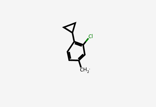 [CH2]c1ccc(C2CC2)c(Cl)c1